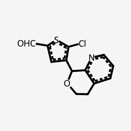 O=Cc1cc(C2OCCc3cccnc32)c(Cl)s1